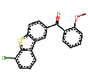 COc1ccccc1C(=O)c1ccc2sc3c(Cl)cccc3c2c1